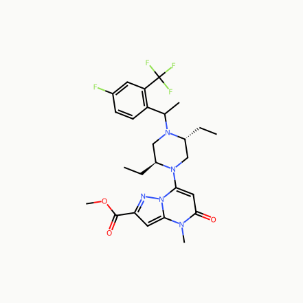 CC[C@H]1CN(C(C)c2ccc(F)cc2C(F)(F)F)[C@H](CC)CN1c1cc(=O)n(C)c2cc(C(=O)OC)nn12